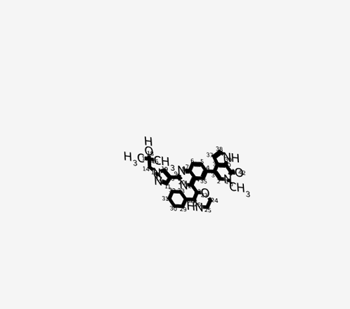 Cn1cc(-c2ccc3nc(-c4cnn(CC(C)(C)O)c4)nc(C4OCCNC4C4CCCCC4)c3c2)c2cc[nH]c2c1=O